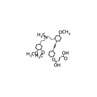 COc1ccc(C#Cc2ccccc2)c(CCN(C)CCc2ccc(OC)c(OC)c2)c1.O=C(O)C=CC(=O)O